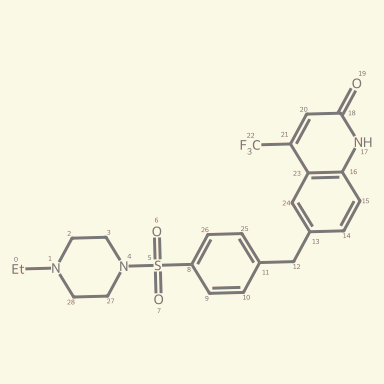 CCN1CCN(S(=O)(=O)c2ccc(Cc3ccc4[nH]c(=O)cc(C(F)(F)F)c4c3)cc2)CC1